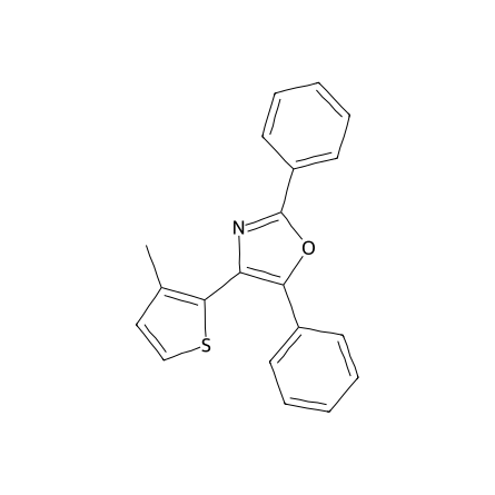 Cc1ccsc1-c1nc(-c2ccccc2)oc1-c1ccccc1